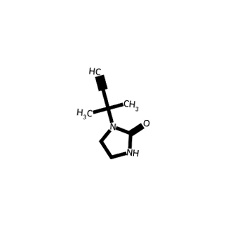 C#CC(C)(C)N1CCNC1=O